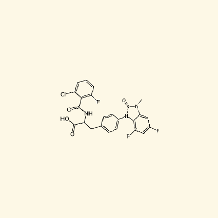 Cn1c(=O)n(-c2ccc(CC(NC(=O)c3c(F)cccc3Cl)C(=O)O)cc2)c2c(F)cc(F)cc21